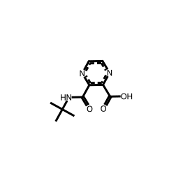 CC(C)(C)NC(=O)c1nccnc1C(=O)O